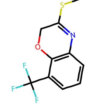 CSC1=Nc2cccc(C(F)(F)F)c2OC1